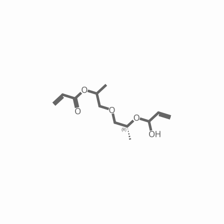 C=CC(=O)OC(C)COC[C@@H](C)OC(O)C=C